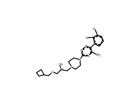 Nc1nc(N2CCN(C[C@H](O)COCC3CCC3)CC2)nnc1-c1cccc(Cl)c1Cl